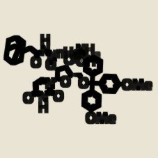 CCCCCCN(NC(=O)CC12CC3CC(CC(C3)C1)C2)O[C@@H]1[C@H](OP(N)O)[C@@H](COC(c2ccccc2)(c2ccc(OC)cc2)c2ccc(OC)cc2)O[C@H]1n1ccc(=O)[nH]c1=O